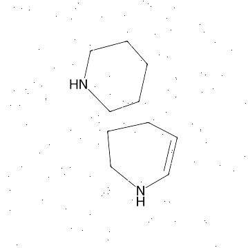 C1=CNCCC1.C1CCNCC1